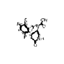 O=C(O)N[C@H]1CNC(=O)C[C@@H]1c1cc(F)c(F)cc1F